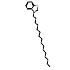 CCCCCCCCCCCCCCCCN1CSc2ccccc21